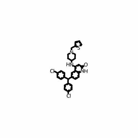 O=c1cc(NC2CCN(Cc3cccs3)CC2)c2cc(C(c3ccc(Cl)cc3)c3ccc(Cl)cc3)ccc2[nH]1